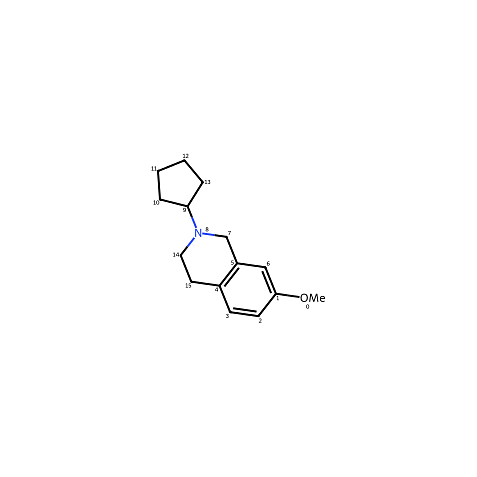 COc1ccc2c(c1)CN(C1CCCC1)CC2